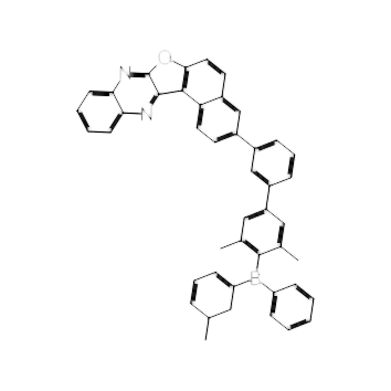 Cc1cc(-c2cccc(-c3ccc4c(ccc5oc6nc7ccccc7nc6c54)c3)c2)cc(C)c1B(C1=CC=CC(C)C1)c1ccccc1